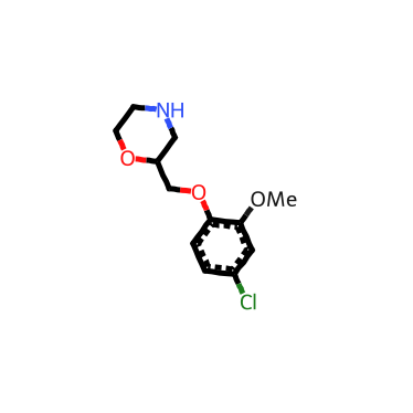 COc1cc(Cl)ccc1OCC1CNCCO1